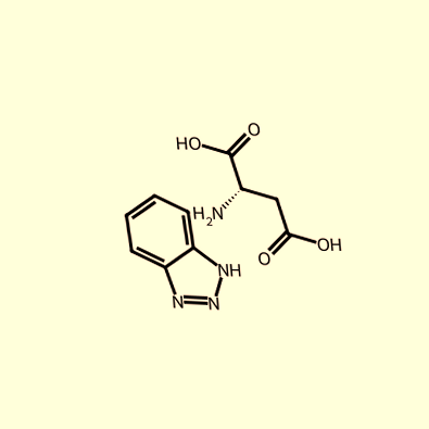 N[C@@H](CC(=O)O)C(=O)O.c1ccc2[nH]nnc2c1